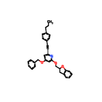 CCCc1ccc(C#Cc2cc(OCc3ccccc3)cc(OCC3Cc4ccccc4O3)n2)cc1